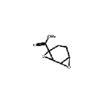 COC(=O)C12CCC3OC3C1O2